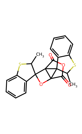 CC1Sc2ccccc2C12OC13C(=O)OC(=O)C21C31c2ccccc2SC1C